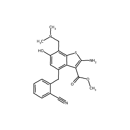 COC(=O)c1c(N)sc2c(CN(C)C)c(O)cc(Cc3ccccc3C#N)c12